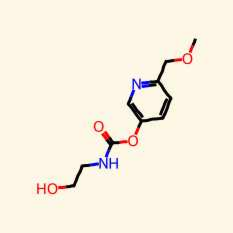 COCc1ccc(OC(=O)NCCO)cn1